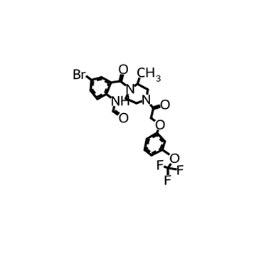 CC1CN(C(=O)COc2cccc(OC(F)(F)F)c2)CCN1C(=O)c1cc(Br)ccc1NC=O